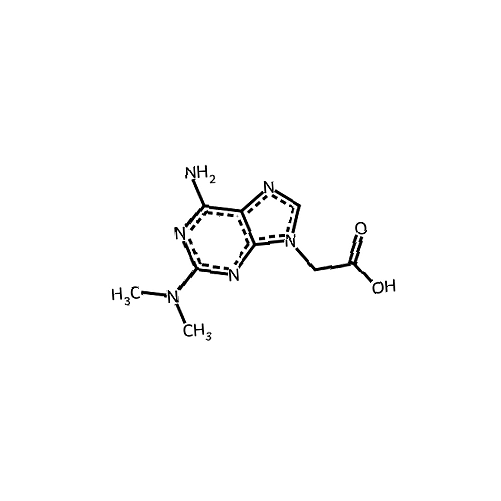 CN(C)c1nc(N)c2ncn(CC(=O)O)c2n1